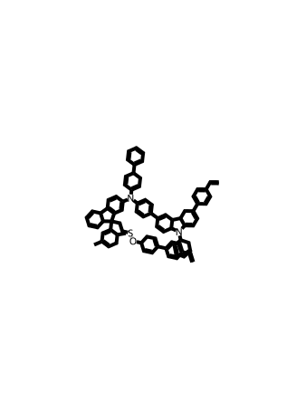 C=Cc1ccc(C2=CCC(OSCCC3(C4=CC(C)=CCC4C)c4cc(N(C5=CCC(c6ccccc6)C=C5)c5ccc(C6=CC7C8CC(c9ccc(C=C)cc9)=CC=C8N(C8C=CC=CC8)C7C=C6)cc5)ccc4C4C=CC=CC43)C=C2)cc1